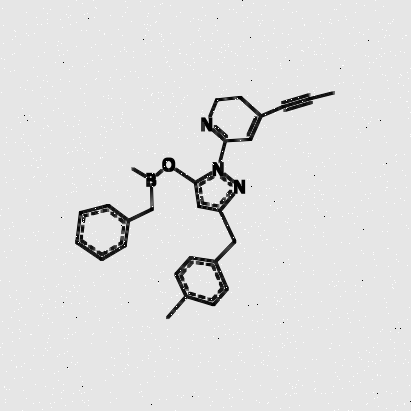 CC#CC1=CC(n2nc(Cc3ccc(C)cc3)cc2OB(C)Cc2ccccc2)=NCC1